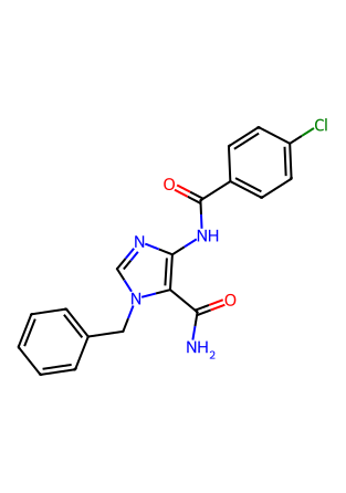 NC(=O)c1c(NC(=O)c2ccc(Cl)cc2)ncn1Cc1ccccc1